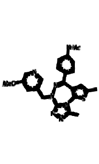 COc1cncc(CN2N=C(c3ccc(NC(C)=O)cc3)c3cc(C)sc3-n3c(C)nnc32)c1